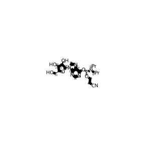 CC(C)N(C(C)C)P(OCCC#N)Oc1ncnc2c1ncn2[C@@H]1O[C@H](CO)[C@@H](O)[C@H]1O